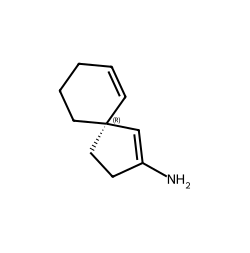 NC1=C[C@@]2(C=CCCC2)CC1